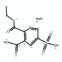 CCOC(=O)c1ccc(S(=O)(=O)O)cc1C(=O)O.[NaH]